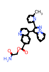 Cc1cccc(-c2nn3ccccc3c2-c2ccnc3cc(C(=O)OCC(N)=O)ccc23)n1